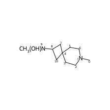 CN1CCC2(CC1)CC(N(C)O)C2